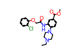 CCN1CCN(c2ccc(C(=O)OC)cc2NC(=O)COc2ccccc2Cl)CC1